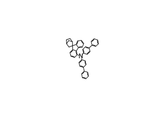 c1ccc(-c2ccc(N(c3ccc(-c4ccccc4)cc3)c3cccc4c3-c3ccccc3C43CC4CCC3C4)cc2)cc1